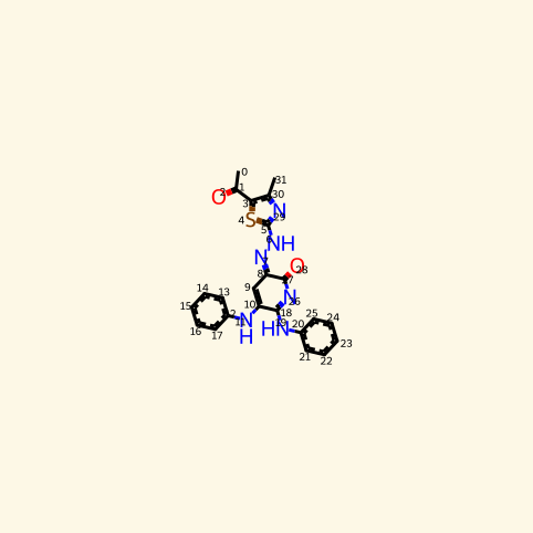 CC(=O)c1sc(NN=C2C=C(Nc3ccccc3)C(Nc3ccccc3)=NC2=O)nc1C